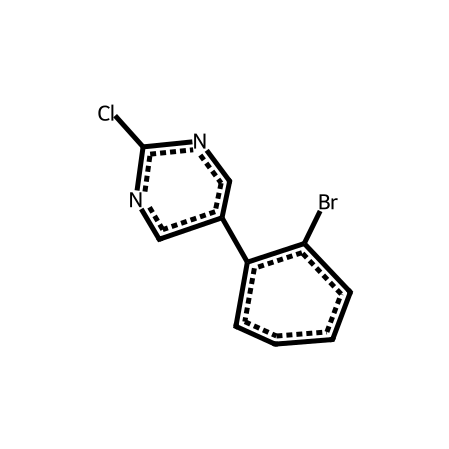 Clc1ncc(-c2ccccc2Br)cn1